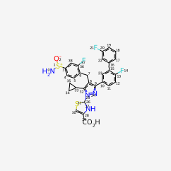 N[S+]([O-])c1ccc(Cc2c(-c3ccc(F)c(-c4cccc(F)c4)c3)nn(C3NC(C(=O)O)=CS3)c2C2CC2)c(F)c1